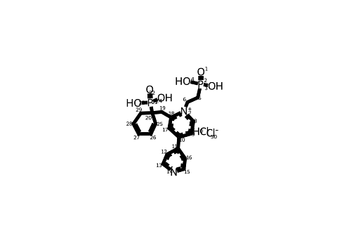 Cl.O=P(O)(O)CC[n+]1ccc(-c2ccncc2)cc1CC1(P(=O)(O)O)C=CC=CC1.[Cl-]